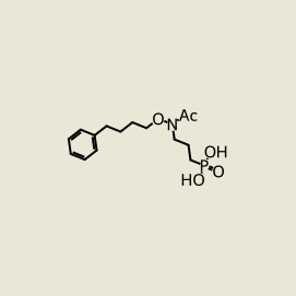 CC(=O)N(CCCP(=O)(O)O)OCCCCc1ccccc1